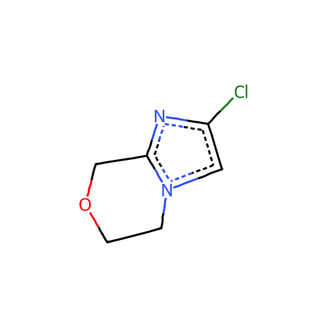 Clc1cn2c(n1)COCC2